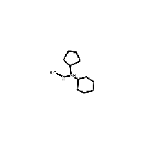 CN[SiH](C1CCCCC1)C1CCCC1